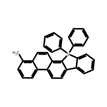 Cc1cccc2c1ccc1c3c(ccc12)-c1ccccc1[Si]3(c1ccccc1)c1ccccc1